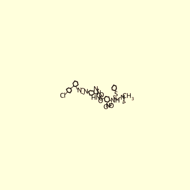 CN(CC[C@H](CSc1ccccc1)Nc1ccc(S(=O)(=O)Nc2ncnc3cc(N4CCN(Cc5ccccc5-c5ccc(Cl)cc5)CC4)ccc23)cc1[N+](=O)[O-])C1CC1